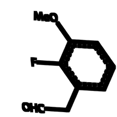 COc1cccc(CC=O)c1F